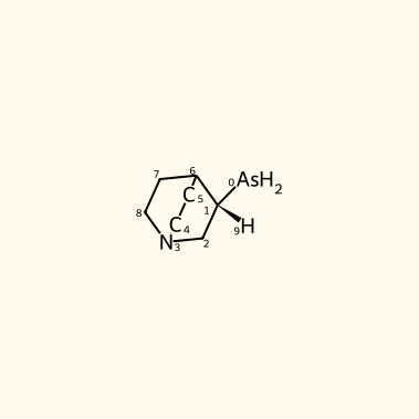 [AsH2][C@@H]1CN2CCC1CC2